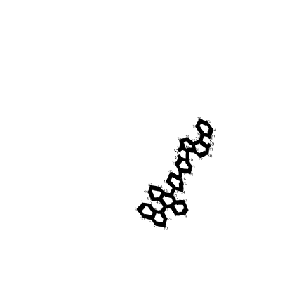 c1ccc2c(-c3c4ccccc4c(-c4ccc(-c5ccc6c(c5)sc5ccc7c(ccc8sc9ccccc9c87)c56)cc4)c4ccccc34)cccc2c1